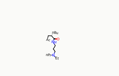 CCCC[C@@H](CC(C)=O)C(=O)NCCCN(CC)CCC